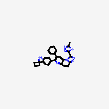 Cc1nnc(-c2nnc3ccc4nc(-c5ccc(C6(N)CCC6)cc5)c(-c5ccccc5)cc4n23)[nH]1